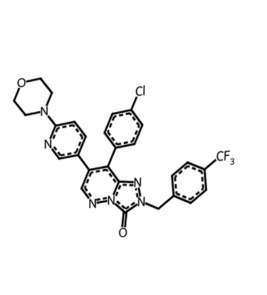 O=c1n(Cc2ccc(C(F)(F)F)cc2)nc2c(-c3ccc(Cl)cc3)c(-c3ccc(N4CCOCC4)nc3)cnn12